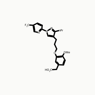 CCCc1nn(-c2ccc(C(F)(F)F)cn2)cc1CCCOc1cc(CC(=O)O)ccc1OC